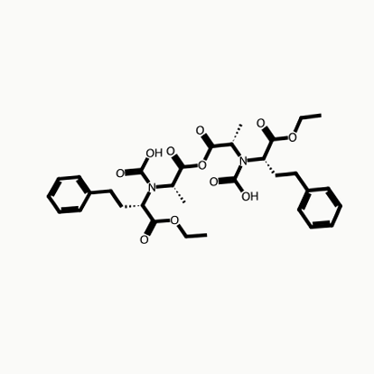 CCOC(=O)[C@H](CCc1ccccc1)N(C(=O)O)[C@@H](C)C(=O)OC(=O)[C@H](C)N(C(=O)O)[C@@H](CCc1ccccc1)C(=O)OCC